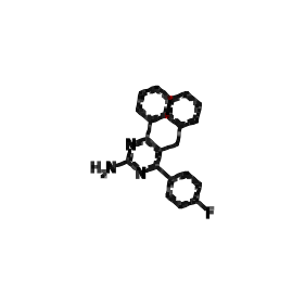 Nc1nc(-c2ccccc2)c(Cc2ccccc2)c(-c2ccc(F)cc2)n1